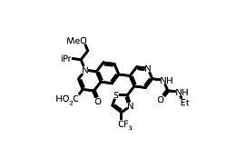 CCNC(=O)Nc1cc(-c2nc(C(F)(F)F)cs2)c(-c2ccc3c(c2)c(=O)c(C(=O)O)cn3C(COC)C(C)C)cn1